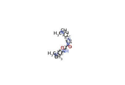 CN(C)c1ccc(CN2CCN(C(=O)/C=C/C(=O)Nc3ccc(N(C)C)cc3)CC2)cc1